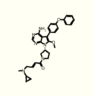 COc1c(-c2ccc(Oc3ccccc3)cc2)c2c(N)ncnc2n1[C@@H]1CCN(C(=O)C=CCN(C)C2CC2)C1